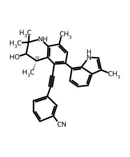 Cc1cc(-c2cccc3c(C)c[nH]c23)c(C#Cc2cccc(C#N)c2)c2c1NC(C)(C)C(O)[C@H]2C